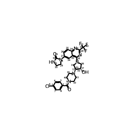 O=C(c1ccc(Cl)cc1)N1CCN([C@H]2CN(c3nc(C(F)(F)F)nc4ccc(N5CCNC5=O)cc34)C[C@@H]2O)CC1